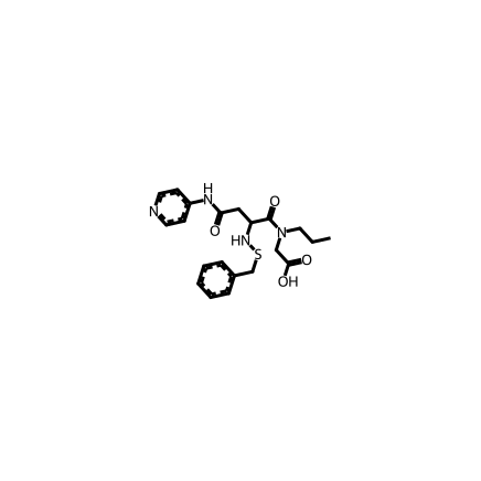 CCCN(CC(=O)O)C(=O)C(CC(=O)Nc1ccncc1)NSCc1ccccc1